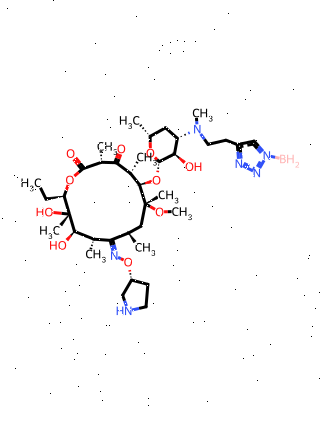 Bn1cc(CCN(C)[C@H]2C[C@@H](C)O[C@@H](O[C@@H]3[C@@H](C)C(=O)[C@@H](C)C(=O)O[C@H](CC)[C@@](C)(O)[C@H](O)[C@@H](C)/C(=N/O[C@@H]4CCNC4)[C@H](C)C[C@@]3(C)OC)[C@@H]2O)nn1